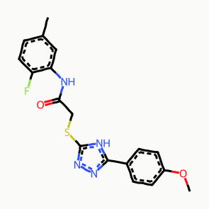 COc1ccc(-c2nnc(SCC(=O)Nc3cc(C)ccc3F)[nH]2)cc1